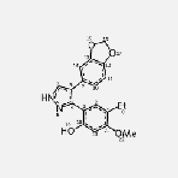 CCc1cc(-c2n[nH]cc2-c2ccc3c(c2)OCO3)c(O)cc1OC